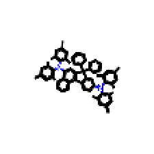 Cc1cc(C)c(N(c2ccc3c(c2)C(c2ccccc2)(c2ccccc2)c2cc(N(c4c(C)cc(C)cc4C)c4c(C)cc(C)cc4C)c4ccccc4c2-3)c2c(C)cc(C)cc2C)c(C)c1